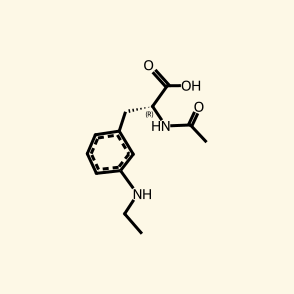 CCNc1cccc(C[C@@H](NC(C)=O)C(=O)O)c1